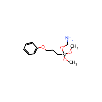 CO[Si](CCCOc1ccccc1)(OC)OCN